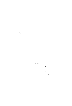 c1cc([C@H]2CC[C@H]3CCCCN32)ccc1NCCCC1CCCNC1